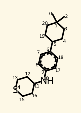 CC1(C)CCC(c2ccc(NC3CCSCC3)cc2)CC1